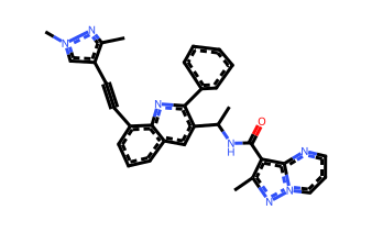 Cc1nn(C)cc1C#Cc1cccc2cc(C(C)NC(=O)c3c(C)nn4cccnc34)c(-c3ccccc3)nc12